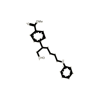 COC(=O)c1ccc(C(CC=O)CCCCOc2ccccc2)cc1